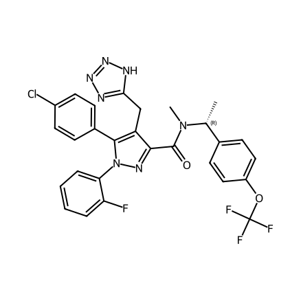 C[C@H](c1ccc(OC(F)(F)F)cc1)N(C)C(=O)c1nn(-c2ccccc2F)c(-c2ccc(Cl)cc2)c1Cc1nnn[nH]1